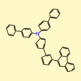 c1ccc(-c2ccc(N(c3ccc(-c4ccccc4)cc3)c3ccc(-c4cccc(-c5cc6ccccc6c6ccccc56)c4)cc3)cc2)cc1